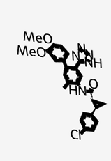 COc1ccc(-c2cc(C)c(NC(=O)[C@@H]3C[C@H]3c3ccc(Cl)cc3)cc2-c2nnn[nH]2)cc1OC